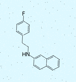 Fc1ccc(CCNc2ccc3ccccc3c2)cc1